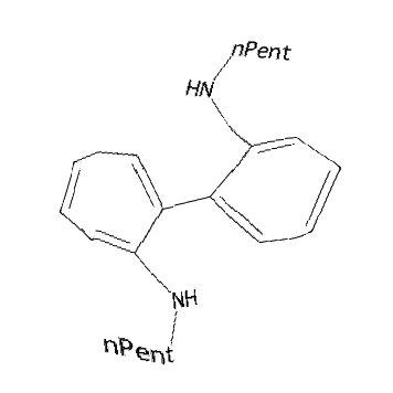 CCCCCNc1ccccc1-c1ccccc1NCCCCC